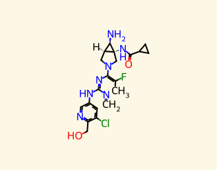 C=N/C(=N\C(=C(/C)F)N1C[C@H]2[C@@H](N)[C@@]2(NC(=O)C2CC2)C1)Nc1cnc(CO)c(Cl)c1